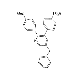 COc1ccc(-c2ncc(Cc3ccccc3)cc2-c2ccc(C(=O)O)cc2)cc1